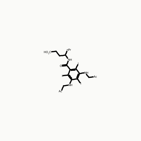 CCCC(CCC(=O)O)NC(=O)c1c(I)c(NCC(C)=O)c(I)c(NCC(C)=O)c1I